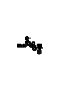 CNCc1nc(N2CCCC2C)cc2c1CN(c1cccc(-c3nnc(C)n3-c3ccccc3)n1)C2=O